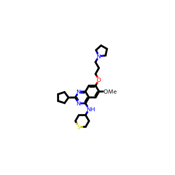 COc1cc2c(NC3CCSCC3)nc(C3CCCC3)nc2cc1OCCCN1CCCC1